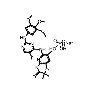 COc1cc(Nc2ncc(F)c(Nc3nc4c(cc3C)OC(C)(C)C(=O)[N-]4)n2)cc(OC)c1OC.O=P(O)(O)O.[Na+]